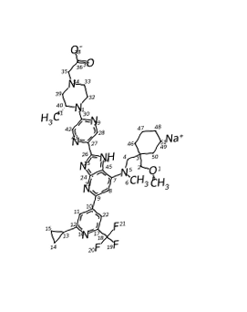 COCC1(CN(C)c2cc(-c3cc(C4CC4)nc(C(F)(F)F)c3)nc3nc(-c4cnc(N5CCN(CC(=O)[O-])C[C@H]5C)cn4)[nH]c23)CCCCC1.[Na+]